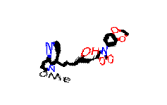 COc1ccc2nccc(CCC[C@H](O)C[C@H]3CN(c4ccc5c(c4)OCCO5)C(=O)O3)c2n1